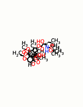 C=CC1OC2C[C@H]3OC[C@@]3(OC(C)=O)[C@H]3[C@H](O)C4(C(C)(C)O)C[C@H](OC(=O)C(O)[C@H](CC(C)C)NC(=O)OC(C)(C)C)C(C)=C4[C@H](OC(C)=O)[C@H](O1)C23C